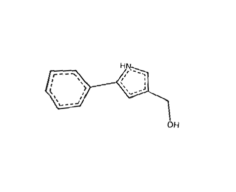 OCc1c[nH]c(-c2ccccc2)c1